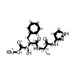 [2H]N(C(=O)OC(C)(C)C)[C@@H](Cc1ccccc1)C(=O)N[C@@H](C)C(=O)Nc1cc[nH]n1